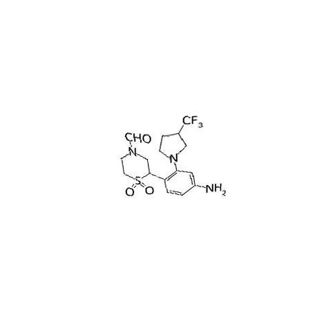 Nc1ccc(C2CN(C=O)CCS2(=O)=O)c(N2CCC(C(F)(F)F)C2)c1